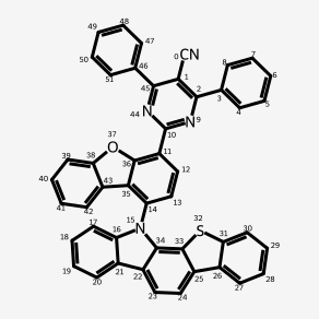 N#Cc1c(-c2ccccc2)nc(-c2ccc(-n3c4ccccc4c4ccc5c6ccccc6sc5c43)c3c2oc2ccccc23)nc1-c1ccccc1